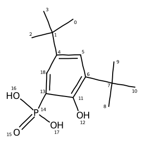 CC(C)(C)c1cc(C(C)(C)C)c(O)c(P(=O)(O)O)c1